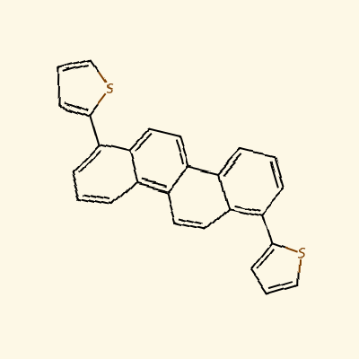 c1csc(-c2cccc3c2ccc2c4cccc(-c5cccs5)c4ccc32)c1